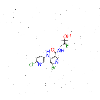 CC(C)(O)[C@H](F)CNC(=O)c1cnc(Br)cc1Nc1ccc(Cl)nc1